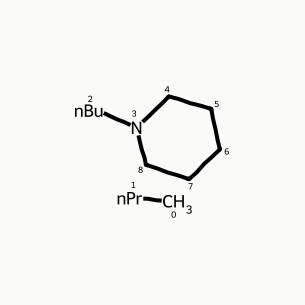 CCCC.CCCCN1CCCCC1